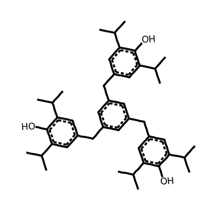 CC(C)c1cc(Cc2cc(Cc3cc(C(C)C)c(O)c(C(C)C)c3)cc(Cc3cc(C(C)C)c(O)c(C(C)C)c3)c2)cc(C(C)C)c1O